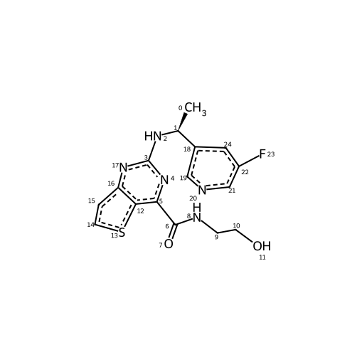 C[C@H](Nc1nc(C(=O)NCCO)c2sccc2n1)c1cncc(F)c1